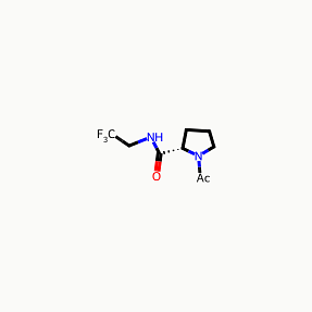 CC(=O)N1CCC[C@H]1C(=O)NCC(F)(F)F